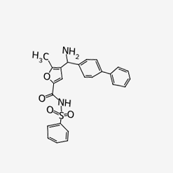 Cc1oc(C(=O)NS(=O)(=O)c2ccccc2)cc1C(N)c1ccc(-c2ccccc2)cc1